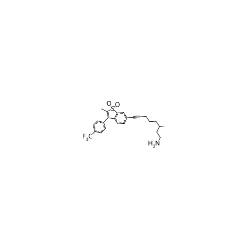 CC1=C(c2ccc(C(F)(F)F)cc2)c2ccc(C#CCCCC(C)CCN)cc2S1(=O)=O